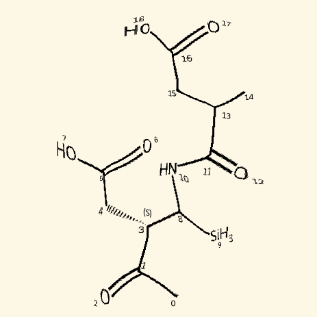 CC(=O)[C@H](CC(=O)O)C([SiH3])NC(=O)C(C)CC(=O)O